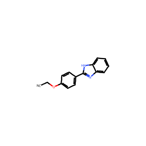 N#CCOc1ccc(-c2nc3ccccc3[nH]2)cc1